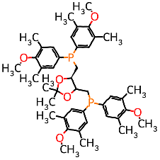 COc1c(C)cc(P(CC2OC(C)(C)O[C@H]2CP(c2cc(C)c(OC)c(C)c2)c2cc(C)c(OC)c(C)c2)c2cc(C)c(OC)c(C)c2)cc1C